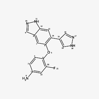 Nc1ccc(Oc2cc3cn[nH]c3cc2-c2cn[nH]c2)c(F)c1